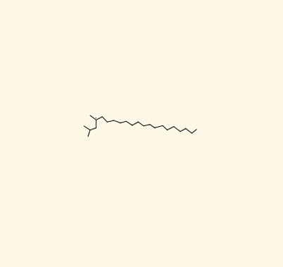 CCCCCCCCCCCCCCCCC[C](C)CC(C)C